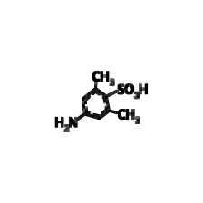 Cc1cc(N)cc(C)c1S(=O)(=O)O